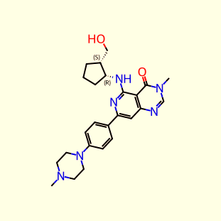 CN1CCN(c2ccc(-c3cc4ncn(C)c(=O)c4c(N[C@@H]4CCC[C@@H]4CO)n3)cc2)CC1